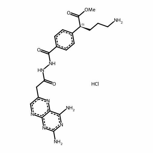 COC(=O)[C@@H](CCCN)c1ccc(C(=O)NNC(=O)Cc2cnc3nc(N)nc(N)c3n2)cc1.Cl